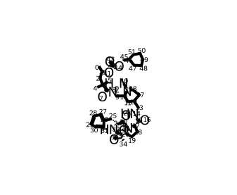 CC(CC(C)(C)C(=O)N=CC1CC(CNC(=O)[C@@H]2CCCN2C(=O)[C@@H](Cc2ccccc2)NS(C)(=O)=O)CCN1N)OC(=O)OCC1CCCCC1